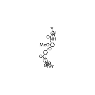 CCCS(=O)(=O)N1CCN(C(=O)c2ccc(COc3cccc(CNC(=O)c4cc(C5CC5)nn4C)c3OC)cc2)CC1